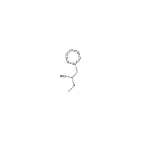 OC(CI)Cc1ccccc1